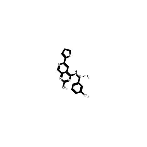 Cc1nc(N[C@H](C)c2cccc(C(F)(F)F)c2)c2cc(C3=CCCO3)ncc2n1